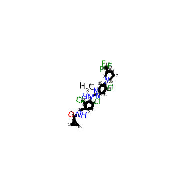 Cn1c(Nc2c(Cl)ccc(CNC(=O)C3CC3)c2Cl)nc2cc(Cl)c(N3CCCC(C(F)(F)F)C3)cc21